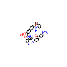 CCc1ccccc1NC(=O)c1ccc2cc(O)c(C(=O)Nc3ccccc3CC)cc2c1.Nc1ccc2c(c1)C(=O)c1cc(N)ccc1-2